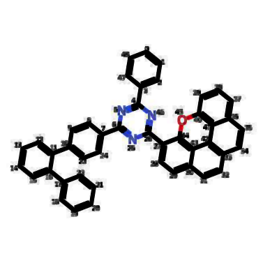 c1ccc(-c2nc(-c3ccc(-c4ccccc4-c4ccccc4)cc3)nc(-c3ccc4ccc5ccc6cccc7c6c5c4c3O7)n2)cc1